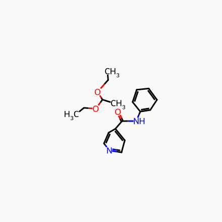 CCOC(C)OCC.O=C(Nc1ccccc1)c1ccncc1